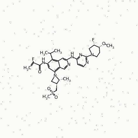 C=C(F)C(=O)Nc1cc(N2C[C@H](CS(C)(=O)=O)[C@H]2C)c2cnc(Nc3ccnc(N4CC[C@@H](OC)[C@@H](F)C4)n3)cc2c1C(C)C